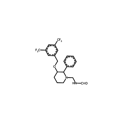 O=CNCN1CCCC(OCc2cc(C(F)(F)F)cc(C(F)(F)F)c2)C1c1ccccc1